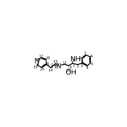 N[C@@H](Cc1ccccc1)[C@H](O)CNCCc1ccncc1